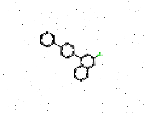 Clc1cc(-c2ccc(-c3ccccc3)cc2)c2ccccc2c1